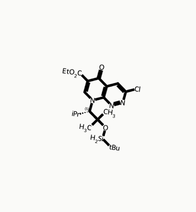 CCOC(=O)c1cn([C@@H](C(C)C)C(C)(C)O[SiH2]C(C)(C)C)c2nnc(Cl)cc2c1=O